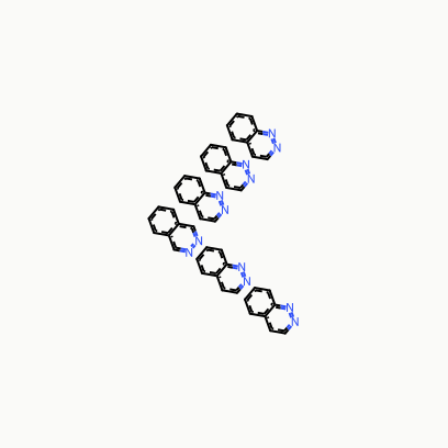 c1ccc2cnncc2c1.c1ccc2nnccc2c1.c1ccc2nnccc2c1.c1ccc2nnccc2c1.c1ccc2nnccc2c1.c1ccc2nnccc2c1